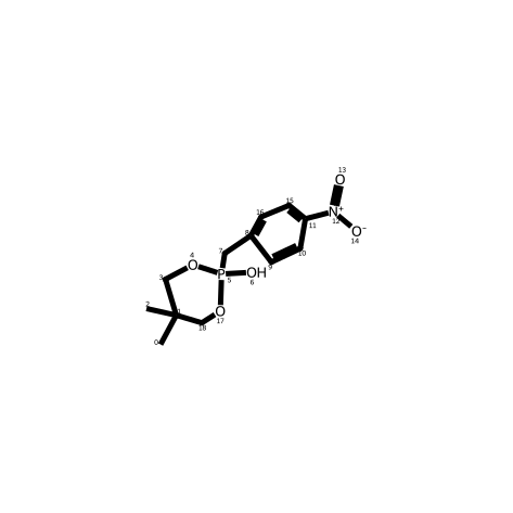 CC1(C)CO[P](O)(Cc2ccc([N+](=O)[O-])cc2)OC1